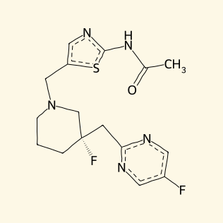 CC(=O)Nc1ncc(CN2CCC[C@](F)(Cc3ncc(F)cn3)C2)s1